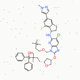 Cn1cc(-c2cc(F)c3c(c2)CCC3Nc2nc3c(cc2Cl)nc(O[C@@H]2CO[C@H](CCC(C)(C)[Si](O)(c4ccccc4)c4ccccc4)C2)n3COCC[Si](C)(C)C)cn1